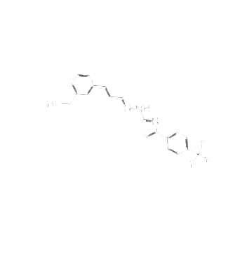 OCc1cccc(C=CC=NNc2nc(-c3ccc(C(F)(F)F)cc3)cs2)c1